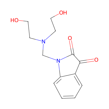 O=C1C(=O)N(CN(CCO)CCO)c2ccccc21